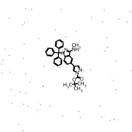 CNc1nn(C(c2ccccc2)(c2ccccc2)c2ccccc2)c2ccc(-c3cnn(C(=O)OC(C)(C)C)c3)cc12